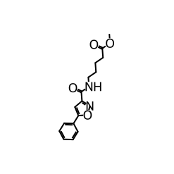 COC(=O)CCCCNC(=O)c1cc(-c2ccccc2)on1